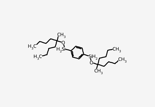 CCCCC(C)(CCCC)O[SiH2]c1ccc([SiH2]OC(C)(CCCC)CCCC)cc1